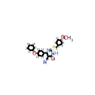 COc1ccc(CSc2nc(-c3ccc(Oc4ccccc4)cc3)c(C#N)c(=O)[nH]2)cc1